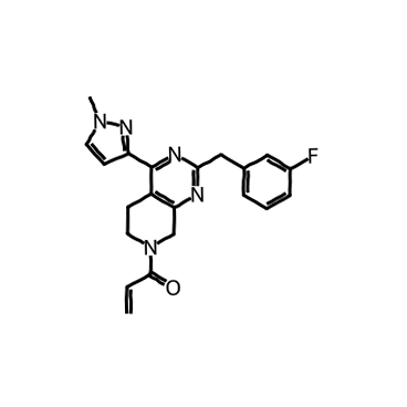 C=CC(=O)N1CCc2c(nc(Cc3cccc(F)c3)nc2-c2ccn(C)n2)C1